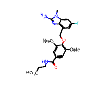 COc1cc(C(=O)NCCC(=O)O)cc(OC)c1OCc1cc(F)cc2c1nc(N)n2C